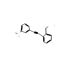 O=[N+]([O-])c1cccc(C#Cc2ccccc2CO)c1